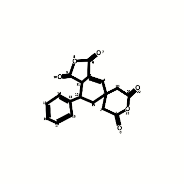 O=C1CC2(C=C3C(=O)OC(=O)C3C(c3ccccc3)C2)CC(=O)O1